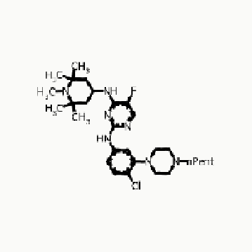 CCCCCN1CCN(c2cc(Nc3ncc(F)c(NC4CC(C)(C)N(C)C(C)(C)C4)n3)ccc2Cl)CC1